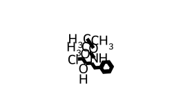 CC(C)(C)OC(=O)NC(Cc1ccccc1)C(O)CCl